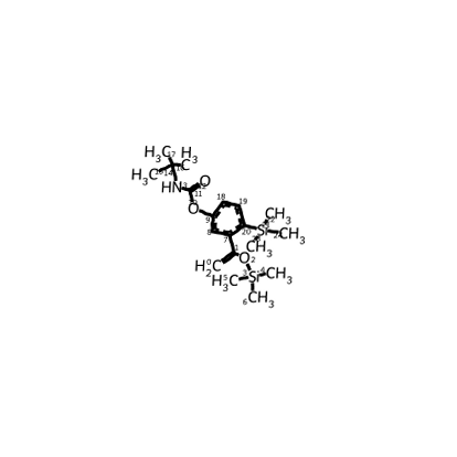 C=C(O[Si](C)(C)C)c1cc(OC(=O)NC(C)(C)C)ccc1[Si](C)(C)C